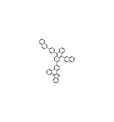 c1ccc2cc(-c3ccc(-c4c5ccccc5c(-c5ccc6ccccc6c5)c5cc(-c6ccc7c(c6)c6ccccc6n6c8ccccc8nc76)ccc45)cc3)ccc2c1